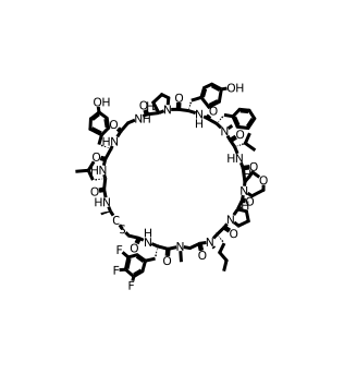 CCCC[C@H]1C(=O)N2CCC[C@@H]2C(=O)N2CCOC[C@H]2C(=O)N[C@@H](C(C)C)C(=O)N(C)[C@@H](Cc2ccccc2)C(=O)N[C@@H](Cc2ccc(O)cc2)C(=O)N2CCC[C@@H]2C(=O)NCC(=O)N[C@@H](Cc2ccc(O)cc2)C(=O)N[C@@H](CC(C)C)C(=O)N[C@H](C)CSCC(=O)N[C@@H](Cc2cc(F)c(F)c(F)c2)C(=O)N(C)CC(=O)N1C